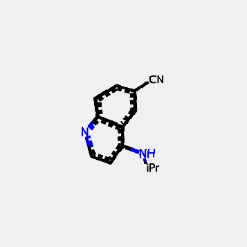 CC(C)Nc1ccnc2ccc(C#N)cc12